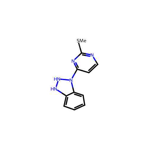 CSc1nccc(N2NNc3ccccc32)n1